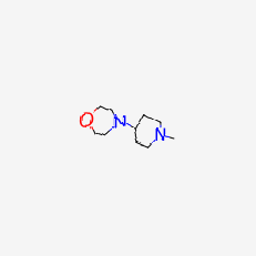 CN1CCC(N2CCOCC2)CC1